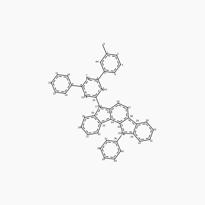 Cc1cccc(-c2nc(-c3ccccc3)nc(-n3c4ccccc4c4c3ccc3c5ccccc5n(-c5ccccc5)c34)n2)c1